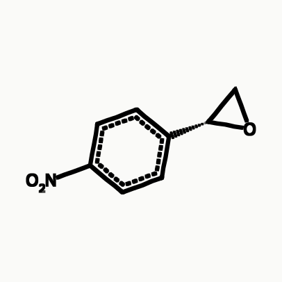 O=[N+]([O-])c1ccc([C@@H]2CO2)cc1